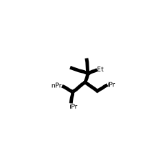 CCC[C](C(C)C)C(CC(C)C)C(C)(C)CC